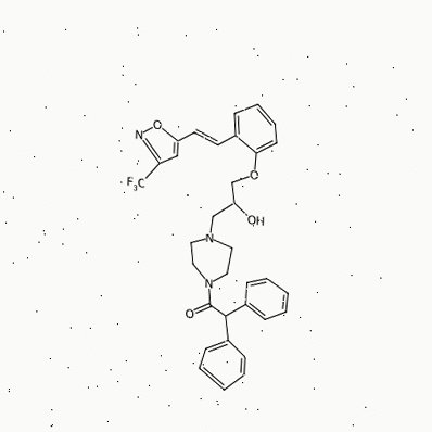 O=C(C(c1ccccc1)c1ccccc1)N1CCN(CC(O)COc2ccccc2/C=C/c2cc(C(F)(F)F)no2)CC1